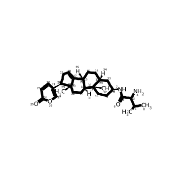 CC(C)C(N)C(=O)N[C@H]1CC[C@@]2(C)[C@H](CC[C@H]3C4=CC[C@H](c5ccc(=O)oc5)[C@@]4(C)CC[C@@H]32)C1